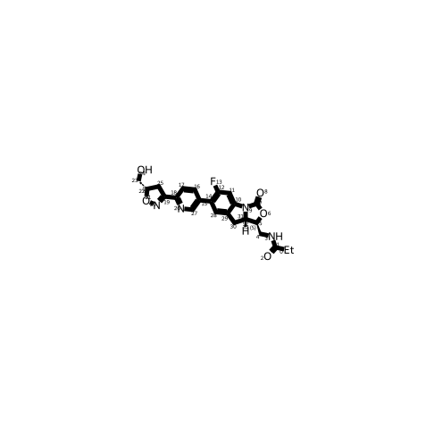 CCC(=O)NC[C@@H]1OC(=O)N2c3cc(F)c(-c4ccc(C5=NO[C@H](CO)C5)nc4)cc3C[C@@H]12